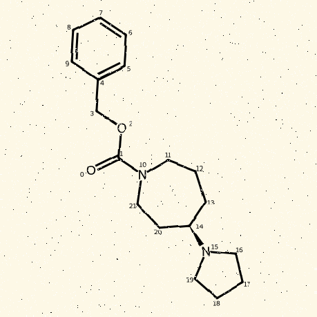 O=C(OCc1ccccc1)N1CCC[C@@H](N2CCCC2)CC1